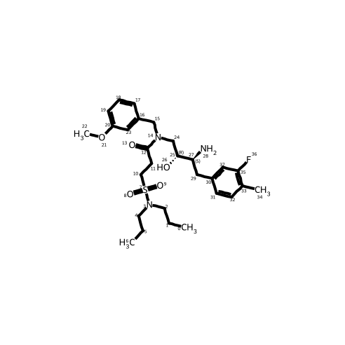 CCCN(CCC)S(=O)(=O)CCC(=O)N(Cc1cccc(OC)c1)C[C@@H](O)[C@@H](N)Cc1ccc(C)c(F)c1